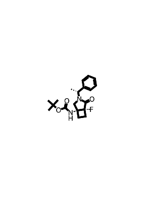 C[C@H](c1ccccc1)N1C[C@]2(NC(=O)OC(C)(C)C)CC[C@]2(F)C1=O